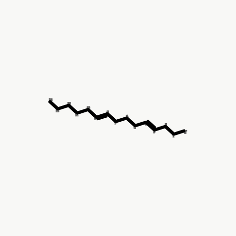 [CH2]CCC=CCCCC=CCCCCC